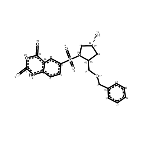 O=c1[nH]c2ccc(S(=O)(=O)N3C[C@H](S)C[C@H]3COCc3ccccc3)cc2c(=O)o1